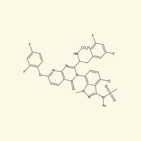 CC(=O)N(c1nn(C)c2c(-n3c(C(Cc4cc(F)cc(F)c4)NC(=O)O)nc4nc(Oc5ccc(F)cc5F)ccc4c3=O)ccc(Cl)c12)S(C)(=O)=O